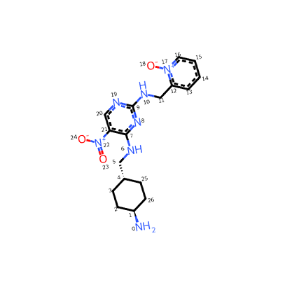 N[C@H]1CC[C@H](CNc2nc(NCc3cccc[n+]3[O-])ncc2[N+](=O)[O-])CC1